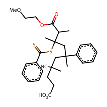 COCCOC(=O)C(C)C(C)(CC(C)(CC(C)(C#N)CCC(=O)O)c1ccccc1)SC(=S)c1ccccc1